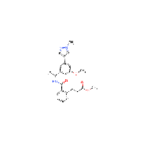 COC(=O)CCc1ccccc1C(=O)NC(C)c1cc(OC)cc(-c2cnn(C)c2)c1